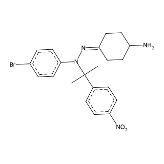 CC(C)(c1ccc([N+](=O)[O-])cc1)N(N=C1CCC(N)CC1)c1ccc(Br)cc1